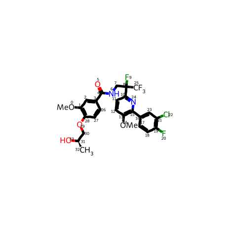 COc1cc(C(=O)NCC(F)(c2ccc(OC)c(-c3ccc(F)c(Cl)c3)n2)C(F)(F)F)ccc1OC[C@@H](C)O